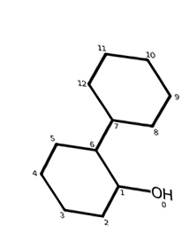 OC1CCCCC1C1CCCCC1